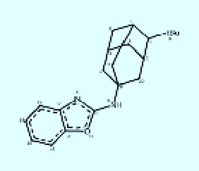 CC(C)(C)C1C2CC3CC1CC(Nc1nc4ccccc4o1)(C3)C2